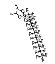 CCO[Si](OCC)(OCC)C(F)(F)C(F)(F)C(F)(F)C(F)(F)C(F)(F)C(F)(F)C(F)(F)C(F)(F)C(F)(F)C(F)(F)F